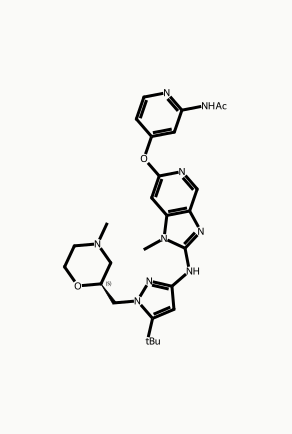 CC(=O)Nc1cc(Oc2cc3c(cn2)nc(Nc2cc(C(C)(C)C)n(C[C@@H]4CN(C)CCO4)n2)n3C)ccn1